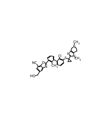 Cc1c(-c2nc3cc(CO)cc(C#N)c3o2)cccc1-c1cccc(SC2(c3nc4c(n3C)CCN(C)C4)CC2)c1Cl